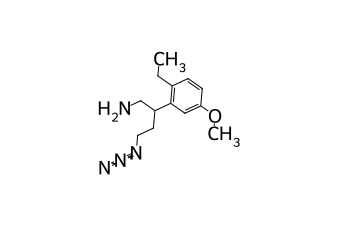 CCc1ccc(OC)cc1C(CN)CCN=[N+]=[N-]